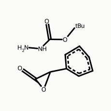 CC(C)(C)OC(=O)NN.O=C1OC1c1ccccc1